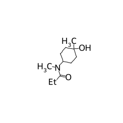 CCC(=O)N(C)C1CCC(C)(O)CC1